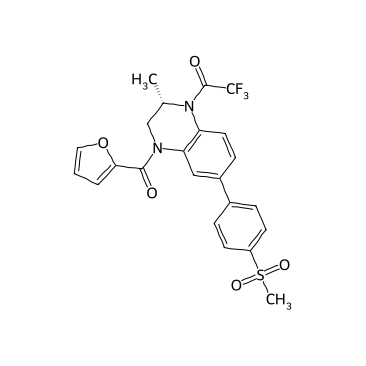 C[C@H]1CN(C(=O)c2ccco2)c2cc(-c3ccc(S(C)(=O)=O)cc3)ccc2N1C(=O)C(F)(F)F